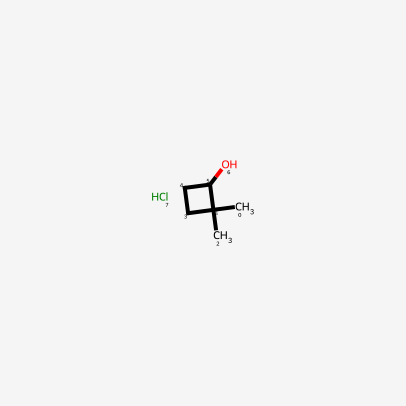 CC1(C)CCC1O.Cl